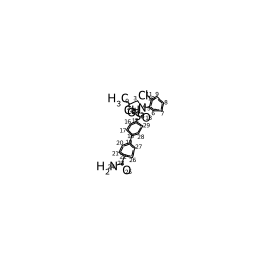 CC(C)CN(c1ccccc1Cl)S(=O)(=O)c1ccc(-c2ccc(C(N)=O)cc2)cc1